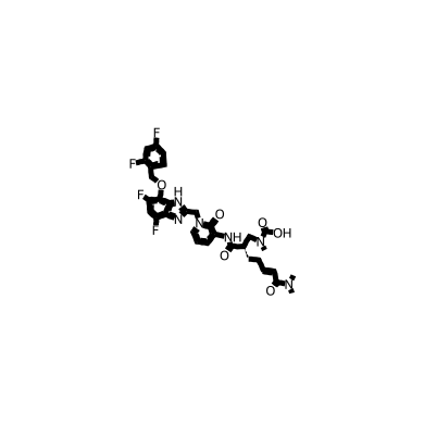 CN(C)C(=O)/C=C/CC[C@@H](CN(C)C(=O)O)C(=O)Nc1cccn(Cc2nc3c(F)cc(F)c(OCc4ccc(F)cc4F)c3[nH]2)c1=O